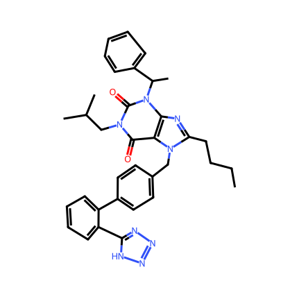 CCCCc1nc2c(c(=O)n(CC(C)C)c(=O)n2C(C)c2ccccc2)n1Cc1ccc(-c2ccccc2-c2nnn[nH]2)cc1